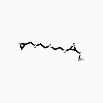 CCCSC1SC1SCCSCCSCC1CS1